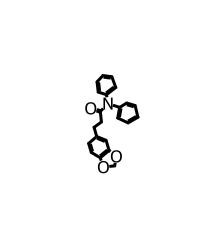 O=C(CCc1ccc2c(c1)OCO2)N(c1ccccc1)c1ccccc1